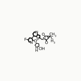 CC1(C)C2C(=O)N(Cc3cc4nccc(-c5cc(F)cnc5O[C@@H]5CCNC5)c4s3)C(=O)C21.Cl